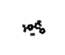 Cl.O=C(O)OC(CCN1CCCC1)c1ccc([N+](=O)[O-])cc1